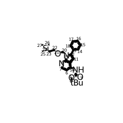 CC(C)(C)OC(=O)Nc1ccnc2c1cc(-c1ccccc1)n2COCC[Si](C)(C)C